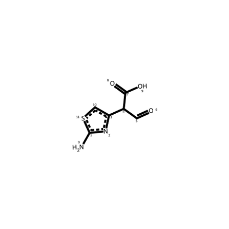 Nc1nc(C([C]=O)C(=O)O)cs1